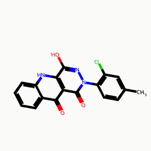 Cc1ccc(-n2nc(O)c3[nH]c4ccccc4c(=O)c3c2=O)c(Cl)c1